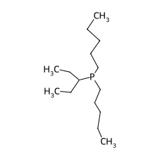 CCCCCP(CCCCC)C(CC)CC